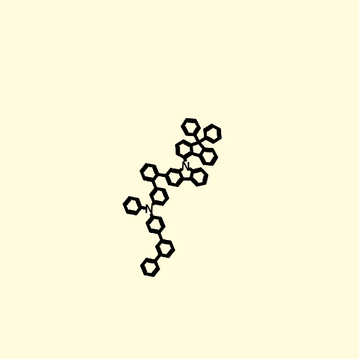 c1ccc(-c2cccc(-c3ccc(N(c4ccccc4)c4cccc(-c5ccccc5-c5ccc6c7ccccc7n(-c7cccc8c7-c7ccccc7C8(c7ccccc7)c7ccccc7)c6c5)c4)cc3)c2)cc1